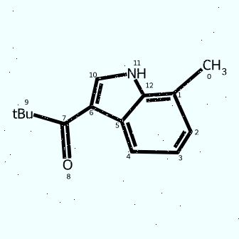 Cc1cccc2c(C(=O)C(C)(C)C)c[nH]c12